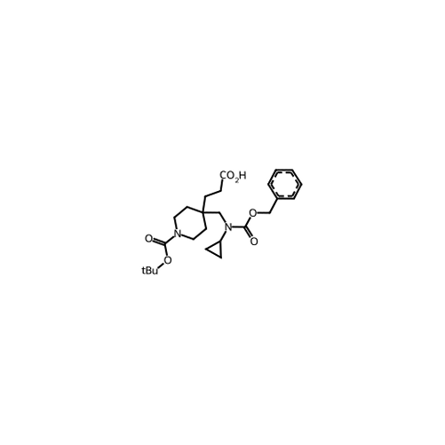 CC(C)(C)OC(=O)N1CCC(CCC(=O)O)(CN(C(=O)OCc2ccccc2)C2CC2)CC1